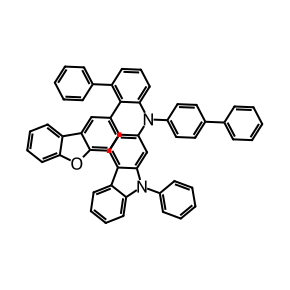 c1ccc(-c2ccc(N(c3ccc4c5ccccc5n(-c5ccccc5)c4c3)c3cccc(-c4ccccc4)c3-c3ccc4oc5ccccc5c4c3)cc2)cc1